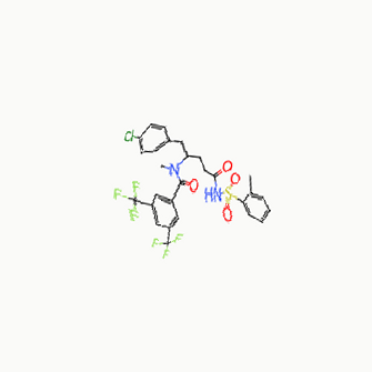 Cc1ccccc1S(=O)(=O)NC(=O)CCC(Cc1ccc(Cl)cc1)N(C)C(=O)c1cc(C(F)(F)F)cc(C(F)(F)F)c1